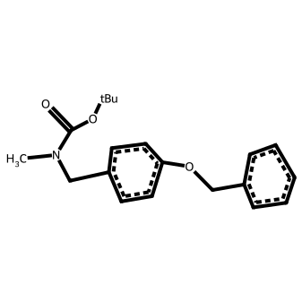 CN(Cc1ccc(OCc2ccccc2)cc1)C(=O)OC(C)(C)C